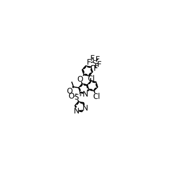 CC(=O)c1c([S+]([O-])c2cncnc2)nc2c(Cl)ccc(Cl)c2c1Oc1ccc(S(F)(F)(F)(F)F)cc1